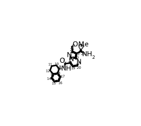 COCc1nn2c(C(=O)N[C@H]3CCCc4ccccc43)ccnc2c1C(N)=O